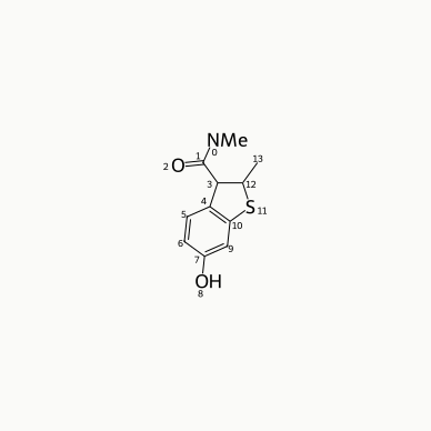 CNC(=O)C1c2ccc(O)cc2SC1C